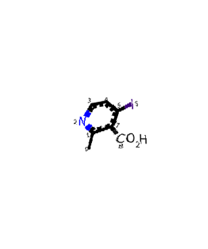 Cc1nccc(I)c1C(=O)O